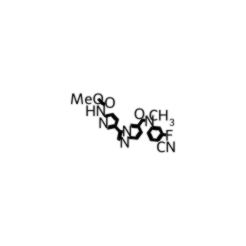 COC(=O)Nc1ccc(-c2cnc3ccc(C(=O)N(C)c4ccc(C#N)c(F)c4)cn23)cn1